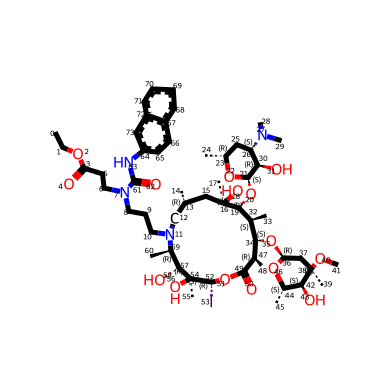 CCOC(=O)CCN(CCCN1C[C@H](C)C[C@@](C)(O)[C@H](O[C@@H]2O[C@H](C)C[C@H](N(C)C)[C@H]2O)[C@@H](C)[C@H](O[C@H]2C[C@@](C)(OC)[C@@H](O)[C@H](C)O2)[C@@H](C)C(=O)O[C@H](I)[C@@](C)(O)[C@H](O)[C@H]1C)C(=O)Nc1ccc2ccccc2c1